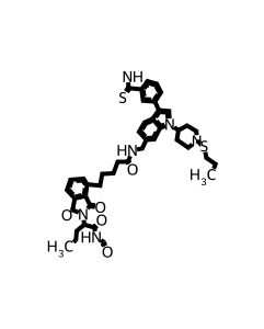 CCCSN1CCC(n2cc(-c3cccc(C(N)=S)c3)c3ccc(CNC(=O)CCCCc4cccc5c4C(=O)N(C(CCC)C(=O)NC=O)C5=O)cc32)CC1